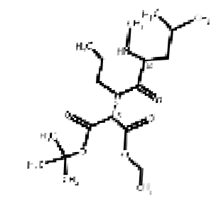 CCCN(C(=O)[C@H](CC(C)C)NC)[C@H](C(=O)OCC)C(=O)OC(C)(C)C